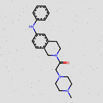 CN1CCN(CC(=O)N2CCc3cc(Nc4ccccc4)ccc3C2)CC1